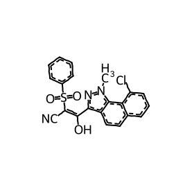 Cn1nc(C(O)=C(C#N)S(=O)(=O)c2ccccc2)c2ccc3cccc(Cl)c3c21